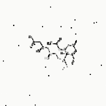 CC[C@H](C)C(=O)O[C@H]1C[C@@H](C)C=C2C=C[C@H](C)[C@H](CC[C@@H](O)C[C@@H](O)CC(=O)C(C)C)[C@H]21